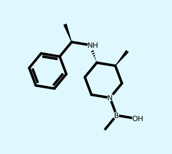 CB(O)N1CC[C@H](N[C@H](C)c2ccccc2)[C@@H](C)C1